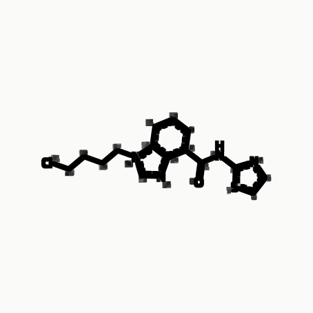 O=C(Nc1nccs1)c1cccc2c1ncn2CCCCCl